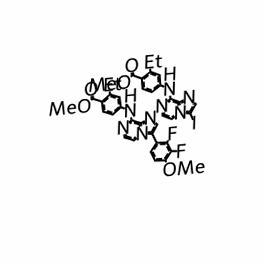 CCc1cc(Nc2nccn3c(-c4ccc(OC)c(F)c4F)cnc23)ccc1C(=O)OC.CCc1cc(Nc2nccn3c(I)cnc23)ccc1C(=O)OC